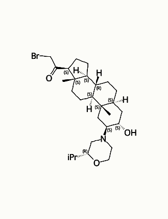 CC(C)[C@@H]1CN([C@H]2C[C@@]3(C)[C@@H](CC[C@@H]4[C@@H]3CC[C@]3(C)[C@@H](C(=O)CBr)CC[C@@H]43)C[C@@H]2O)CCO1